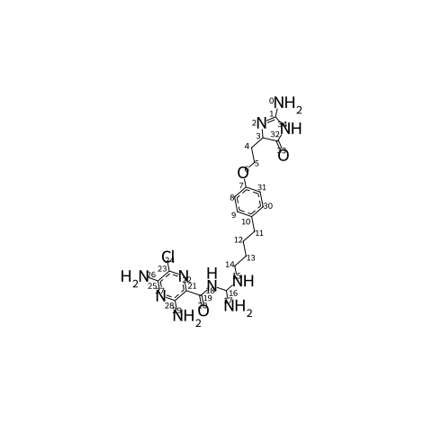 NC1=NC(CCOc2ccc(CCCCNC(N)NC(=O)c3nc(Cl)c(N)nc3N)cc2)C(=O)N1